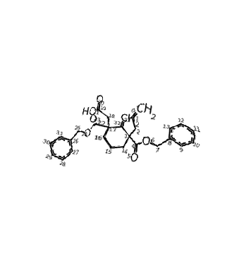 C=CCC1(C(=O)OCc2ccccc2)CCC[C@](CC(=O)O)(C(=O)OCc2ccccc2)C1=C